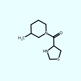 CC1CCCN(C(=O)C2CSCN2)C1